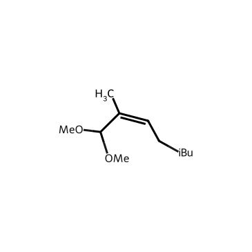 CCC(C)CC=C(C)C(OC)OC